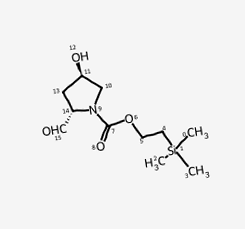 C[Si](C)(C)CCOC(=O)N1C[C@H](O)C[C@H]1C=O